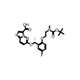 C[C@@H](Oc1ccc2ncc(C(=O)O)n2n1)c1cc(F)ccc1OCCN(C)C(=O)OC(C)(C)C